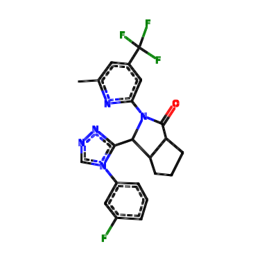 Cc1cc(C(F)(F)F)cc(N2C(=O)C3CCCC3C2c2nncn2-c2cccc(F)c2)n1